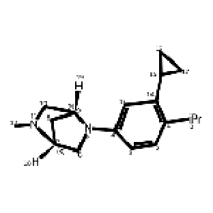 CC(C)c1ccc(N2C[C@H]3C[C@@H]2CN3C)cc1C1CC1